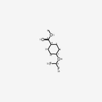 COC(=O)C1CCC(OC(F)F)CC1